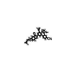 Cn1cnnc1-c1cc(C#N)ccc1-c1cc(C2CC2)cc(N2Cc3ccc(CNCC4CC4)cc3C2=O)c1